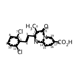 Cc1c(C=Cc2c(Cl)cccc2Cl)nc2ccc(C(=O)O)cn2c1=O